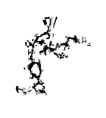 Cc1ncsc1-c1ccc(CNC(=O)C2CC(O)CN2C(=O)[C@@H](NC(=O)CN)C(C)(C)C)cc1